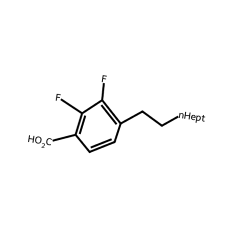 CCCCCCCCCc1ccc(C(=O)O)c(F)c1F